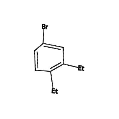 CCc1ccc(Br)cc1CC